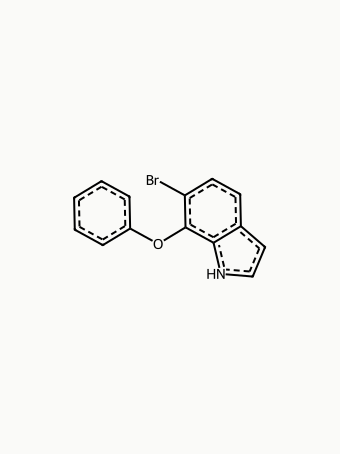 Brc1ccc2cc[nH]c2c1Oc1ccccc1